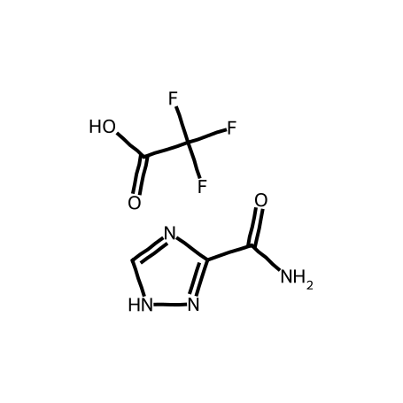 NC(=O)c1nc[nH]n1.O=C(O)C(F)(F)F